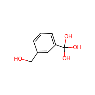 OCc1cccc(C(O)(O)O)c1